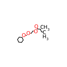 CCC(C)C(=O)OCCOCOC1CCCCC1